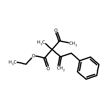 C=C(Cc1ccccc1)C(C)(C(C)=O)C(=O)OCC